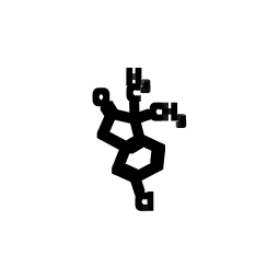 CC1(C)C(=O)Cc2cc(Cl)ccc21